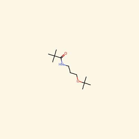 CC(C)(C)OCCCNC(=O)C(C)(C)C